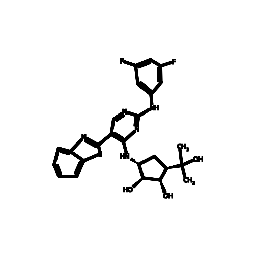 CC(C)(O)[C@@H]1C[C@@H](Nc2nc(Nc3cc(F)cc(F)c3)ncc2-c2nc3ccccc3s2)[C@H](O)[C@@H]1O